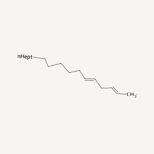 [CH2]C=CCC=CCCCCCCCCCCCC